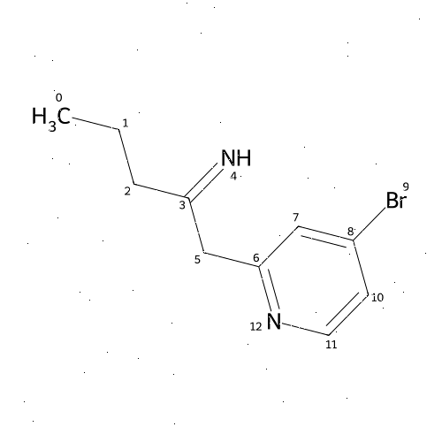 CCCC(=N)Cc1cc(Br)ccn1